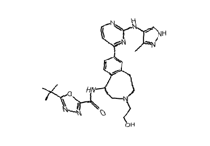 Cc1n[nH]cc1Nc1nccc(-c2ccc3c(c2)CCN(CCO)CC3NC(=O)c2nnc(C(C)(C)C)o2)n1